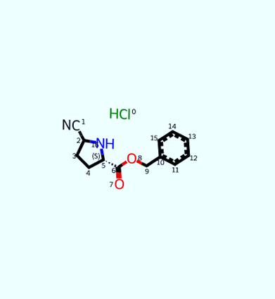 Cl.N#CC1CC[C@@H](C(=O)OCc2ccccc2)N1